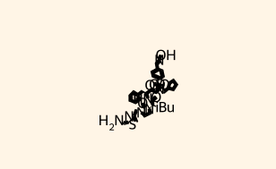 CC[C@H](C)[C@@H](C(=O)N[C@@H](Cc1ccccc1)[C@H](O)CN(CC1CCCC1)S(=O)(=O)c1ccc(C=NO)cc1)N1CCN(Cc2csc(CN)n2)C1=O